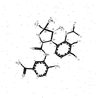 Cc1cnc(C(N)=O)cc1NC(=O)[C@H]1O[C@@](C)(C(F)(F)F)[C@H](C)[C@H]1c1ccc(F)c(F)c1OC(F)F